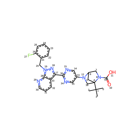 CC(C)(C)C12CC(CN1C(=O)O)N(c1cnc(-c3nn(Cc4ccccc4F)c4ncccc34)nc1)C2